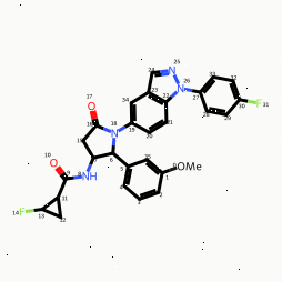 COc1cccc(C2C(NC(=O)C3CC3F)CC(=O)N2c2ccc3c(cnn3-c3ccc(F)cc3)c2)c1